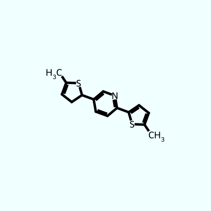 CC1=CCC(c2ccc(-c3ccc(C)s3)nc2)S1